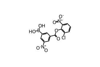 O=C(Oc1c(Cl)cccc1[N+](=O)[O-])c1cc(B(O)O)cc([N+](=O)[O-])c1